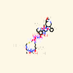 CC[C@]1(O)C[C@H]2CN(CCc3c([nH]c4ccccc34)[C@@](C(=O)OC)(c3cc4c(cc3OC)N(C)[C@H]3[C@@](O)(C(=O)NNC(=O)OCCSSC[C@H](NC(=O)[C@H](CC(=O)O)NC(=O)[C@H](CC(=O)O)NC(=O)[C@H](CCCNC(=N)N)NC)C(=O)O)[C@H](O)[C@]5(CC)C=CCN6CC[C@]43[C@@H]65)C2)C1